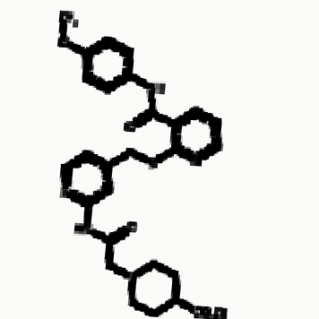 CCOC(=O)C1CCN(CC(=O)Nc2cc(CSc3ncccc3C(=O)Nc3ccc(OC(F)(F)F)cc3)ccn2)CC1